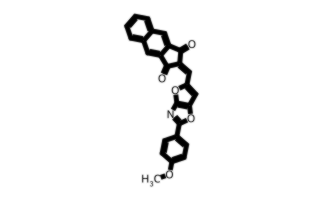 COc1ccc(-c2nc3oc(C=C4C(=O)c5cc6ccccc6cc5C4=O)cc3o2)cc1